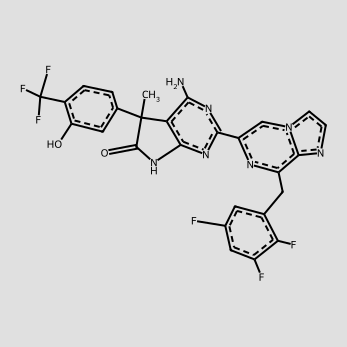 CC1(c2ccc(C(F)(F)F)c(O)c2)C(=O)Nc2nc(-c3cn4ccnc4c(Cc4cc(F)cc(F)c4F)n3)nc(N)c21